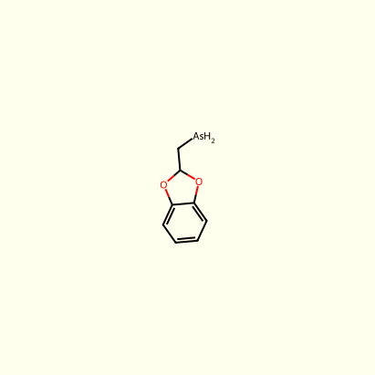 [AsH2]CC1Oc2ccccc2O1